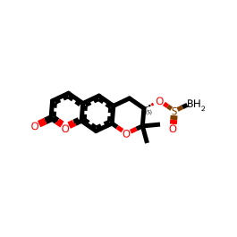 BS(=O)O[C@H]1Cc2cc3ccc(=O)oc3cc2OC1(C)C